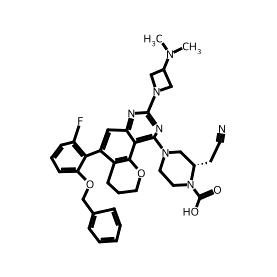 CN(C)C1CN(c2nc(N3CCN(C(=O)O)[C@@H](CC#N)C3)c3c4c(c(-c5c(F)cccc5OCc5ccccc5)cc3n2)CCCO4)C1